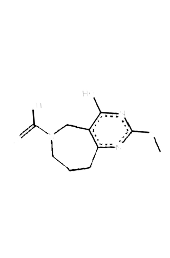 CSc1nc(O)c2c(n1)CCCN(C(=O)O)C2